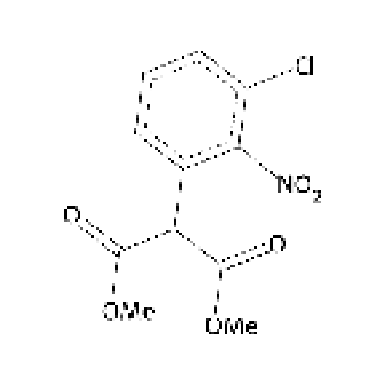 COC(=O)C(C(=O)OC)c1cccc(Cl)c1[N+](=O)[O-]